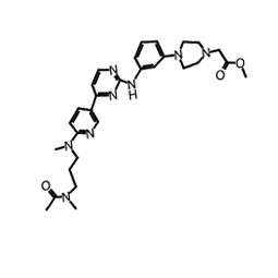 COC(=O)CN1CCN(c2cccc(Nc3nccc(-c4ccc(N(C)CCCN(C)C(C)=O)nc4)n3)c2)CC1